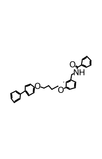 O=C(NCc1[c]c(OCCCCOc2ccc(-c3ccccc3)cc2)ccc1)c1ccccc1